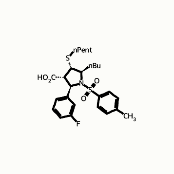 CCCCCS[C@H]1[C@@H](C(=O)O)[C@H](c2cccc(F)c2)N(S(=O)(=O)c2ccc(C)cc2)[C@@H]1CCCC